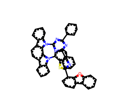 c1ccc(-c2nc(-c3ccccc3)nc(-n3c4ccccc4c4ccc5c6ccccc6n(-c6cccc7nc(-c8cccc9c8oc8ccccc89)sc67)c5c43)n2)cc1